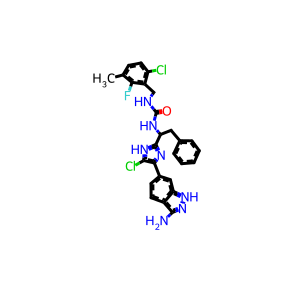 Cc1ccc(Cl)c(CNC(=O)NC(Cc2ccccc2)c2nc(-c3ccc4c(N)n[nH]c4c3)c(Cl)[nH]2)c1F